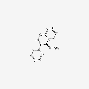 CN=C(C(=NO)c1ccccc1)c1ccccc1